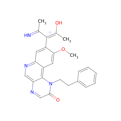 COc1cc2c(cc1/C(C(C)=N)=C(\C)O)ncc1ncc(=O)n(CCc3ccccc3)c12